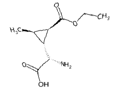 CCOC(=O)[C@@H]1[C@H](C)[C@H]1[C@H](N)C(=O)O